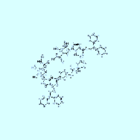 CCNC(=O)C1O[C@@H](n2cnc3c(NCC(c4ccccc4)c4ccccc4)nc(N4CC[C@@H](NC(=O)N[C@@H]5CCN(c6nc(NCC(c7ccccc7)c7ccccc7)c7ncn([C@@H]8O[C@H](C(=O)NCC)[C@@H](O)[C@H]8O)c7n6)C5)C4)nc32)[C@H](O)[C@@H]1O